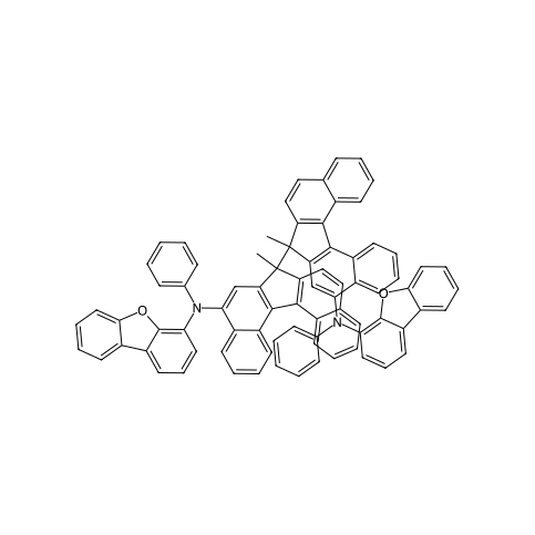 CC1(C2(C)c3ccc4ccccc4c3-c3c2cc(N(c2ccccc2)c2cccc4c2oc2ccccc24)c2ccccc32)c2ccc3ccccc3c2-c2c1cc(N(c1ccccc1)c1cccc3c1oc1ccccc13)c1ccccc21